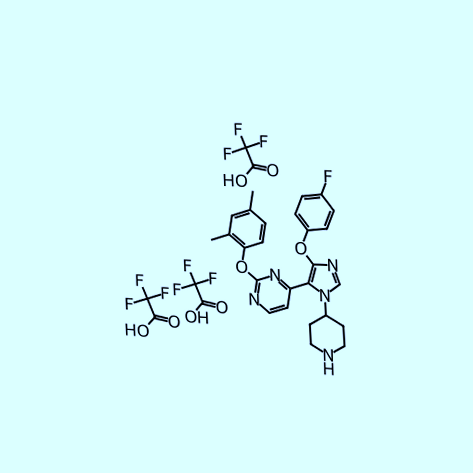 Cc1ccc(Oc2nccc(-c3c(Oc4ccc(F)cc4)ncn3C3CCNCC3)n2)c(C)c1.O=C(O)C(F)(F)F.O=C(O)C(F)(F)F.O=C(O)C(F)(F)F